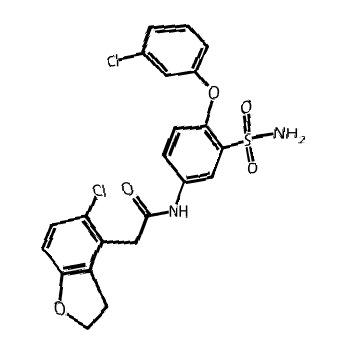 NS(=O)(=O)c1cc(NC(=O)Cc2c(Cl)ccc3c2CCO3)ccc1Oc1cccc(Cl)c1